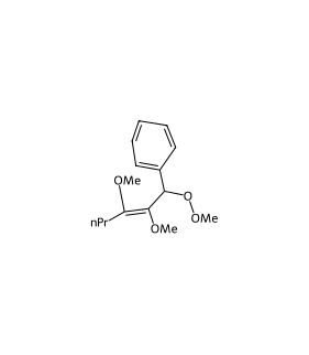 CCCC(OC)=C(OC)C(OOC)c1ccccc1